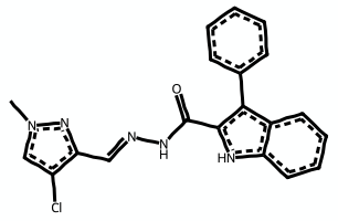 Cn1cc(Cl)c(C=NNC(=O)c2[nH]c3ccccc3c2-c2ccccc2)n1